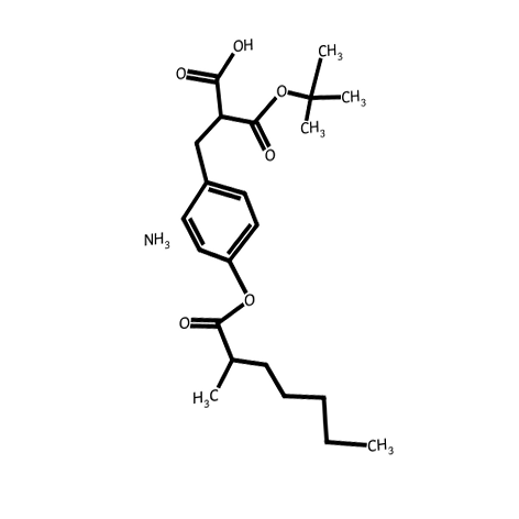 CCCCCC(C)C(=O)Oc1ccc(CC(C(=O)O)C(=O)OC(C)(C)C)cc1.N